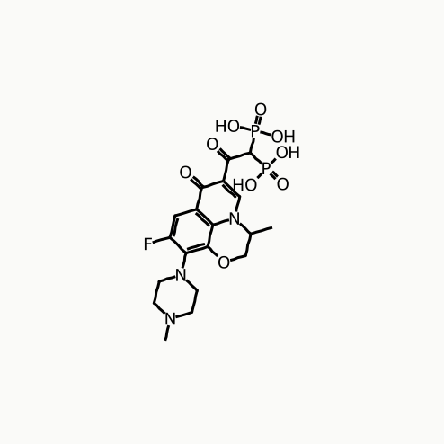 CC1COc2c(N3CCN(C)CC3)c(F)cc3c(=O)c(C(=O)C(P(=O)(O)O)P(=O)(O)O)cn1c23